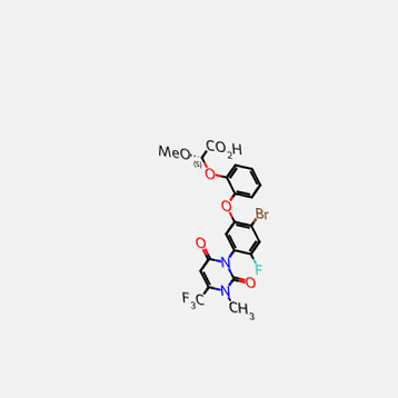 CO[C@@H](Oc1ccccc1Oc1cc(-n2c(=O)cc(C(F)(F)F)n(C)c2=O)c(F)cc1Br)C(=O)O